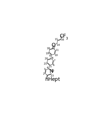 CCCCCCCc1ccc(-c2ccc(-c3ccc(OC/C=C/C(F)(F)F)cc3)cc2)nc1